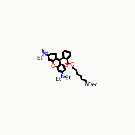 CCCCCCCCCCCCCCCCOC(=O)c1ccccc1-c1c2ccc(=[N+](CC)CC)cc-2oc2cc(N(CC)CC)ccc12